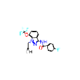 C#CCn1nc(NC(=O)c2ccc(F)cc2)c2cccc(OC(F)(F)F)c21